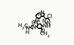 CNC1CN(c2cc(OC)c(Nc3ncc(Cl)c(-c4cnn5ccccc45)n3)cc2[N+](=O)[O-])C1